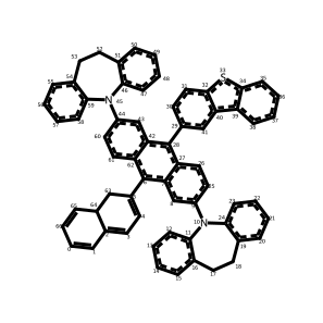 C1=CC2=CC=C(c3c4cc(N5c6ccccc6CCc6ccccc65)ccc4c(-c4ccc5sc6ccccc6c5c4)c4cc(N5c6ccccc6CCc6ccccc65)ccc34)CC2C=C1